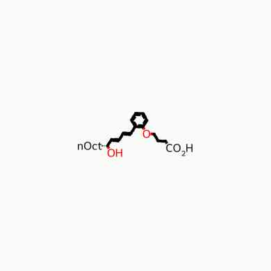 CCCCCCCC[C@@H](O)C=CC=Cc1ccccc1OCCCC(=O)O